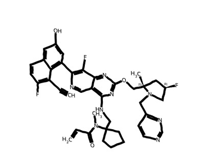 C#Cc1c(F)ccc2cc(O)cc(-c3ncc4c(NCC5(N(C)C(=O)C=C)CCCC5)nc(OC[C@]5(C)C[C@@H](F)CN5Cc5ccncn5)nc4c3F)c12